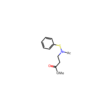 COC(=O)CCN(Sc1ccccc1)C(C)=O